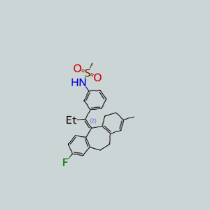 CC/C(=C1/C2=C(C=C(C)CC2)CCc2cc(F)ccc21)c1cccc(NS(C)(=O)=O)c1